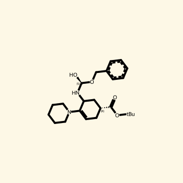 CC(C)(C)OC(=O)[C@@H]1CC=C(N2CCCCC2)C(N[C@@H](O)OCc2ccccc2)C1